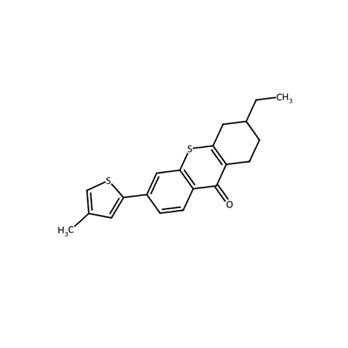 CCC1CCc2c(sc3cc(-c4cc(C)cs4)ccc3c2=O)C1